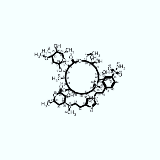 CC[C@H]1OC(=O)[C@H](C)[C@@H](O[C@H]2C[C@@](C)(OC)[C@@H](O)[C@H](C)O2)[C@H](C)[C@@H](O[C@@H]2O[C@H](C)C[C@H](N(C)CCc3cn([C@H](CF)Cc4ccc(S(N)(=O)=O)cc4)cn3)[C@H]2O)[C@](C)(O)CC[C@@H](C)CN(C)[C@H](C)[C@@H](O)C[C@]1(C)O